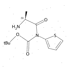 C[C@H](N)C(=O)N(C(=O)OC(C)(C)C)c1cccs1